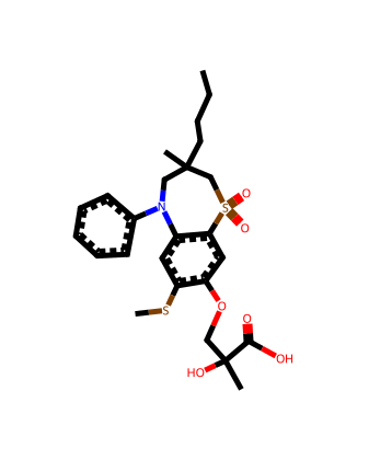 CCCCC1(C)CN(c2ccccc2)c2cc(SC)c(OCC(C)(O)C(=O)O)cc2S(=O)(=O)C1